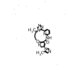 Cc1cncn1-c1cnc2c(c1)C(=O)Nc1cccc(n1)-c1nncn1[C@@H](C)CCCO2